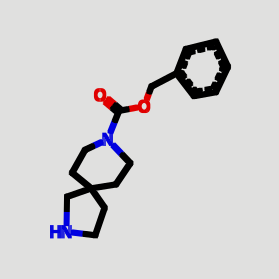 O=C(OCc1ccccc1)N1CCC2(CCNC2)CC1